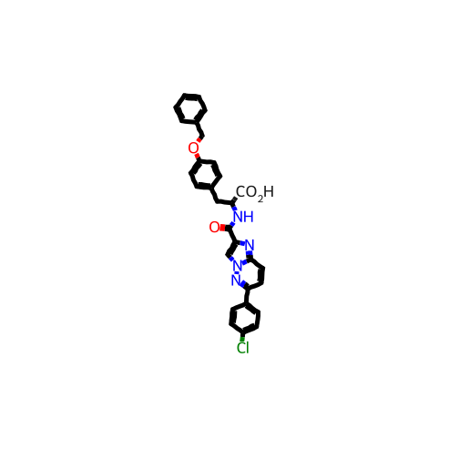 O=C(NC(Cc1ccc(OCc2ccccc2)cc1)C(=O)O)c1cn2nc(-c3ccc(Cl)cc3)ccc2n1